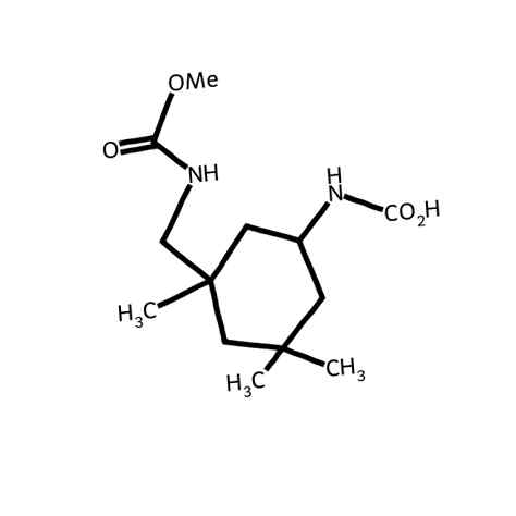 COC(=O)NCC1(C)CC(NC(=O)O)CC(C)(C)C1